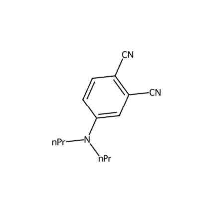 CCCN(CCC)c1ccc(C#N)c(C#N)c1